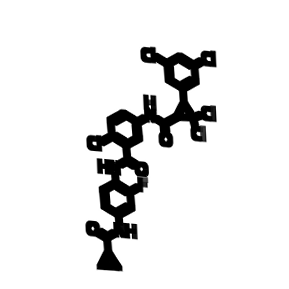 O=C(Nc1ccc(NC(=O)C2CC2)cc1F)c1cc(NC(=O)C2C(c3cc(Cl)cc(Cl)c3)C2(Cl)Cl)ccc1Cl